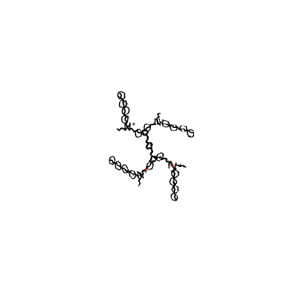 CCCC[N+](C)(CCCCOc1cc(/C=C/c2ccc(/C=C/c3cc(OCCCC[N+](C)(CCCC)CCOCCOCCOCCOC)cc(OCCCC[N+](C)(CCCC)CCOCCOCCOCCOC)c3)cc2)cc(OCCCC[N+](C)(CCCC)CCOCCOCCOCCOC)c1)CCOCCOCCOCCOC